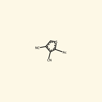 CC(=O)c1scc(C#N)c1C#N